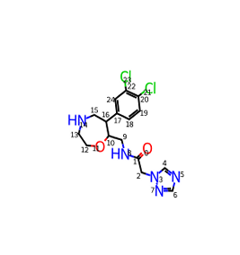 O=C(Cn1cncn1)NCC1OCCNCC1c1ccc(Cl)c(Cl)c1